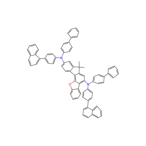 CC1(C)c2cc(N(c3ccc(-c4ccccc4)cc3)c3ccc(-c4cccc5ccccc45)cc3)ccc2-c2c1cc(N(c1ccc(-c3ccccc3)cc1)c1ccc(-c3cccc4ccccc34)cc1)c1c2oc2ccccc21